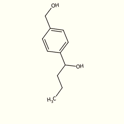 CCCC(O)c1ccc(CO)cc1